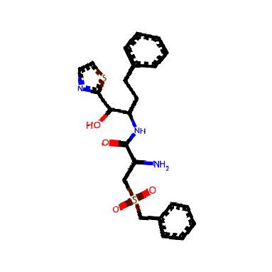 NC(CS(=O)(=O)Cc1ccccc1)C(=O)NC(CCc1ccccc1)C(O)c1nccs1